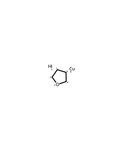 C1CCOC1.I.[Cu]